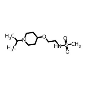 CC(C)N1CCC(OCCNS(C)(=O)=O)CC1